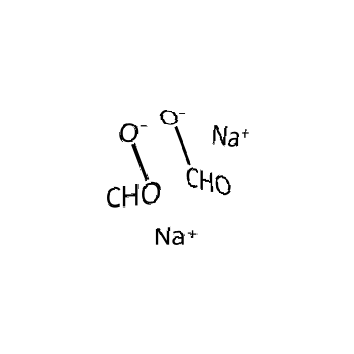 O=C[O-].O=C[O-].[Na+].[Na+]